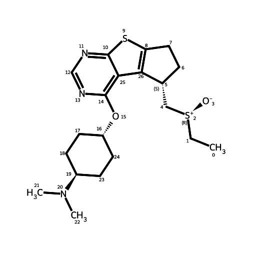 CC[S@+]([O-])C[C@H]1CCc2sc3ncnc(O[C@H]4CC[C@H](N(C)C)CC4)c3c21